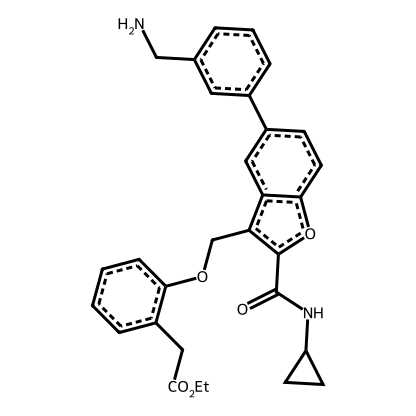 CCOC(=O)Cc1ccccc1OCc1c(C(=O)NC2CC2)oc2ccc(-c3cccc(CN)c3)cc12